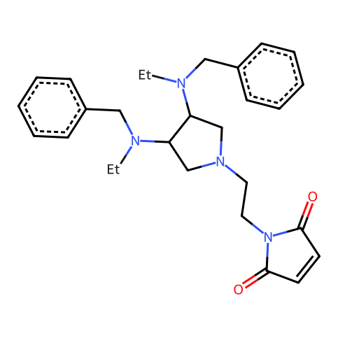 CCN(Cc1ccccc1)C1CN(CCN2C(=O)C=CC2=O)CC1N(CC)Cc1ccccc1